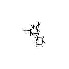 Ic1cc(-c2cccnc2)nc(I)n1